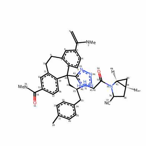 C=C(NC)c1ccc2c(c1)CCc1cc(C(=O)NC)ccc1C2(C[C@H](Cc1ccc(C)cc1)NCC(=O)N1C(C#N)C[C@@H]2C[C@@H]21)c1nnn[nH]1